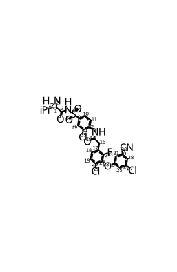 CC(C)[C@H](N)C(=O)NS(=O)(=O)c1ccc(NC(=O)Cc2ccc(Cl)c(Oc3cc(Cl)cc(C#N)c3)c2F)c(Cl)c1